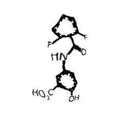 O=C(O)c1cc(NC(=O)c2c(F)cccc2F)ccc1O